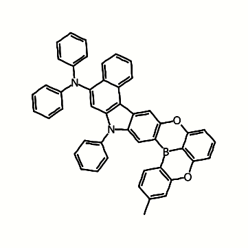 Cc1ccc2c(c1)Oc1cccc3c1B2c1cc2c(cc1O3)c1c3ccccc3c(N(c3ccccc3)c3ccccc3)cc1n2-c1ccccc1